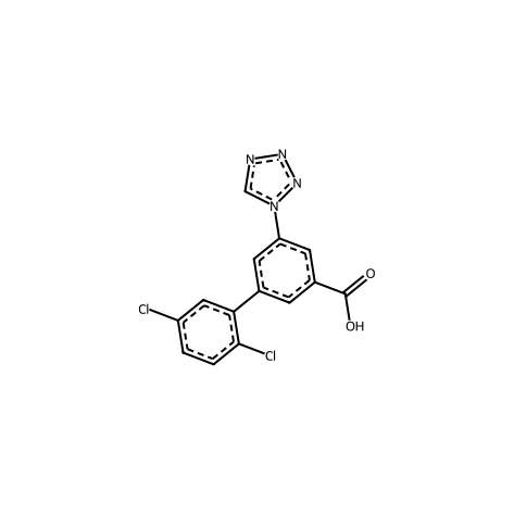 O=C(O)c1cc(-c2cc(Cl)ccc2Cl)cc(-n2cnnn2)c1